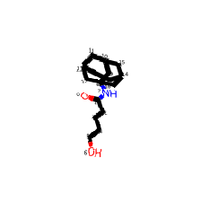 O=C(CCCCO)NC12CC3CC(CC(C3)C1)C2